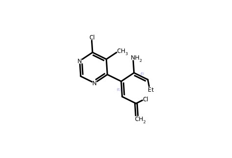 C=C(Cl)/C=C(\C(N)=C/CC)c1ncnc(Cl)c1C